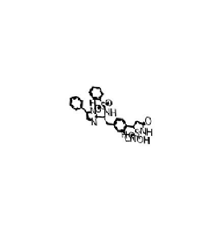 N#Cc1cc(C[C@H](NS(=O)(=O)c2ccccc2)c2ncc(-c3ccccc3)[nH]2)ccc1C1CC(=O)NS1(O)O